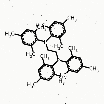 Cc1cc(C)c(P(CCP(c2c(C)cc(C)cc2C)c2c(C)cc(C)cc2C)c2c(C)cc(C)cc2C)c(C)c1